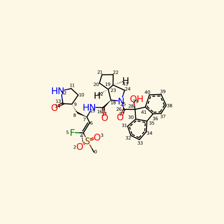 CS(=O)(=O)/C(F)=C/[C@@H](C[C@H]1CCNC1=O)NC(=O)[C@H]1[C@H]2CCC[C@H]2CN1C(=O)C1(O)c2ccccc2-c2ccccc21